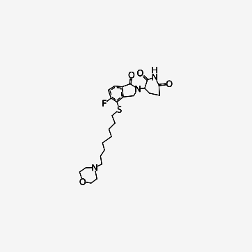 O=C1CCC(N2Cc3c(ccc(F)c3SCCCCCCCCN3CCOCC3)C2=O)C(=O)N1